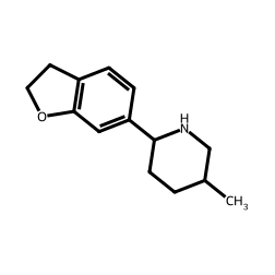 CC1CCC(c2ccc3c(c2)OCC3)NC1